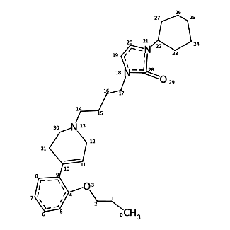 CCCOc1ccccc1C1=CCN(CCCCn2ccn(C3CCCCC3)c2=O)CC1